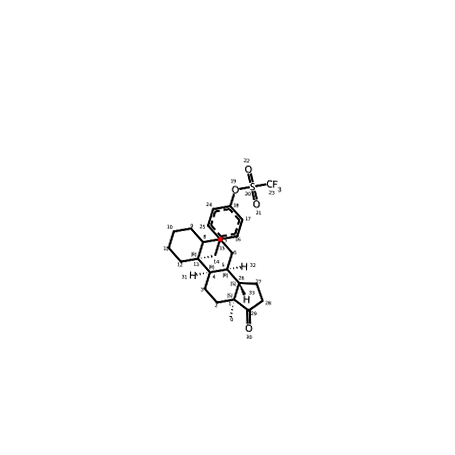 C[C@]12CC[C@@H]3[C@@H](CCC4CCCC[C@@]43Cc3ccc(OS(=O)(=O)C(F)(F)F)cc3)[C@@H]1CCC2=O